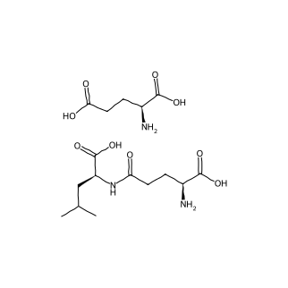 CC(C)C[C@H](NC(=O)CC[C@H](N)C(=O)O)C(=O)O.N[C@@H](CCC(=O)O)C(=O)O